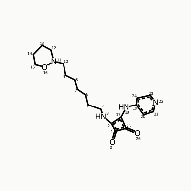 O=c1c(NCCCCCCCN2CCCCO2)c(Nc2ccncc2)c1=O